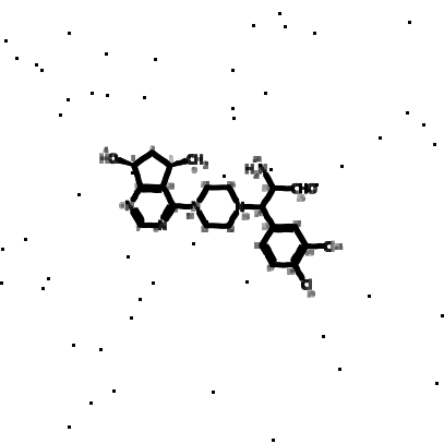 C[C@@H]1C[C@H](O)c2ncnc(N3CCN(C(c4ccc(Cl)c(Cl)c4)C(N)C=O)CC3)c21